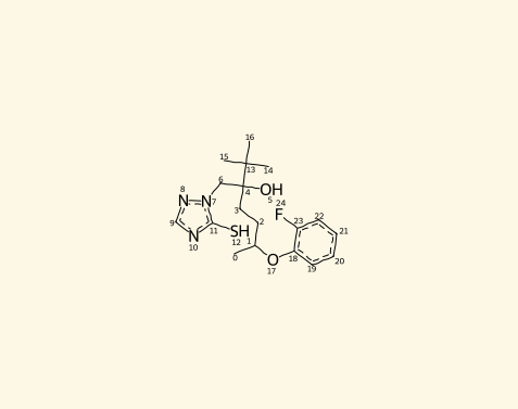 CC(CCC(O)(Cn1ncnc1S)C(C)(C)C)Oc1ccccc1F